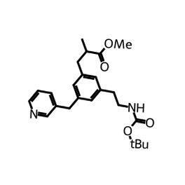 COC(=O)C(C)Cc1cc(CCNC(=O)OC(C)(C)C)cc(Cc2cccnc2)c1